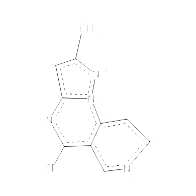 Cc1cc2nc(Cl)c3cnccc3n2n1